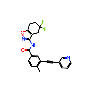 Cc1ccc(C(=O)Nc2noc3c2CC(F)(F)CC3)cc1C#Cc1cccnc1